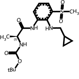 C[C@H](NC(=O)OC(C)(C)C)C(=O)Nc1cccc(S(C)(=O)=O)c1NCC1CC1